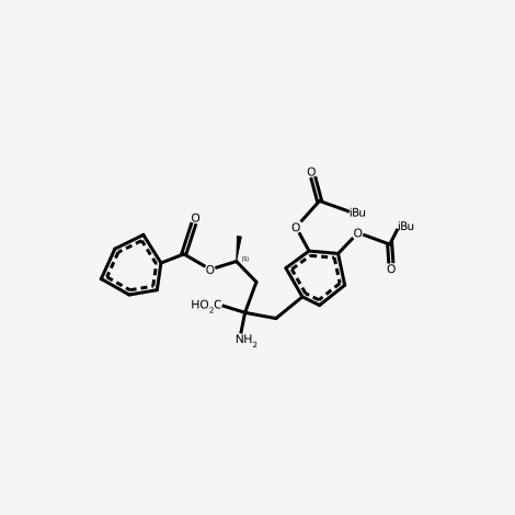 CCC(C)C(=O)Oc1ccc(CC(N)(C[C@H](C)OC(=O)c2ccccc2)C(=O)O)cc1OC(=O)C(C)CC